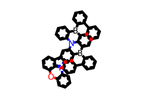 c1ccc(-c2ccccc2B2c3ccccc3N3c4cc5c6cccc7c6n(c5cc4B(c4ccccc4-c4ccccc4)c4cccc2c43)-c2ccccc2O7)cc1